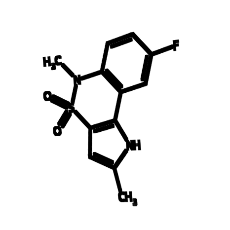 Cc1cc2c([nH]1)-c1cc(F)ccc1N(C)S2(=O)=O